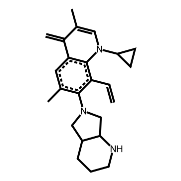 C=Cc1c(N2CC3CCCNC3C2)c(C)cc2c1N(C1CC1)C=C(C)C2=C